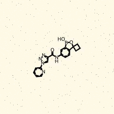 O=C(Nc1ccc2c(c1)B(O)OC21CCC1)c1cn(-c2ccccn2)nn1